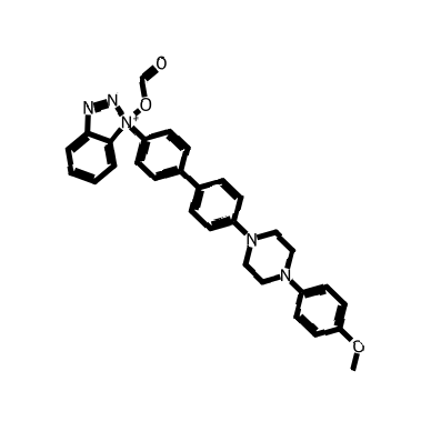 COc1ccc(N2CCN(c3ccc(-c4ccc([N+]5(OC=O)N=Nc6ccccc65)cc4)cc3)CC2)cc1